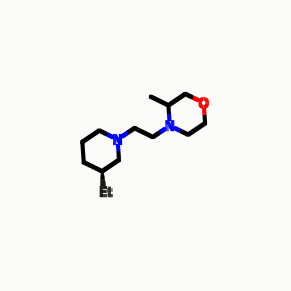 CC[C@H]1CCCN(CCN2CCOCC2C)C1